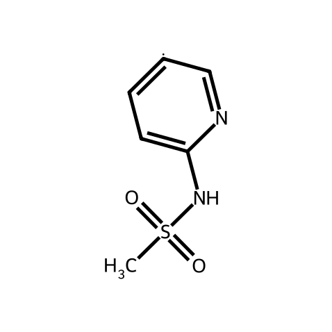 CS(=O)(=O)Nc1cc[c]cn1